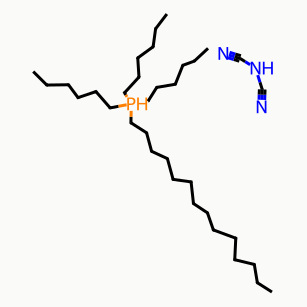 CCCCCCCCCCCCCC[PH](CCCCCC)(CCCCCC)CCCCCC.N#CNC#N